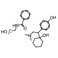 CN(C)CC(c1ccc(O)cc1)C1(O)CCCCC1.O=C(O)CNC(=O)c1ccccc1